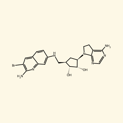 Nc1nc2cc(NC[C@H]3C[C@@H](N4CCc5c(N)ncnc54)[C@H](O)[C@@H]3O)ccc2cc1Br